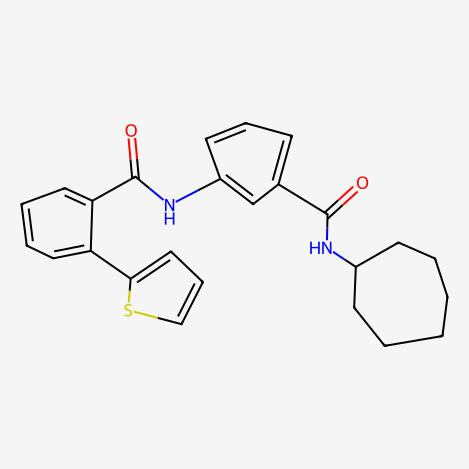 O=C(NC1CCCCCC1)c1cccc(NC(=O)c2ccccc2-c2cccs2)c1